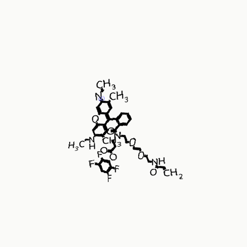 C=CC(=O)NCCOCCOCCN(CCC(=O)Oc1c(F)c(F)cc(F)c1F)C(=O)c1ccccc1-c1c2cc(C)/c(=N\CC)cc-2oc2cc(NCC)c(C)cc12